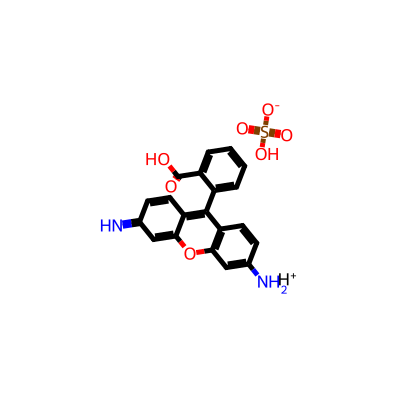 N=c1ccc2c(-c3ccccc3C(=O)O)c3ccc(N)cc3oc-2c1.O=S(=O)([O-])O.[H+]